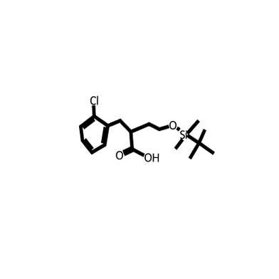 CC(C)(C)[Si](C)(C)OCCC(Cc1ccccc1Cl)C(=O)O